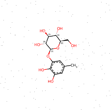 Cc1cc(O)c(O)c(O[C@@H]2O[C@H](CO)[C@@H](O)[C@H](O)[C@H]2O)c1